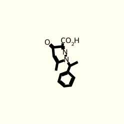 Cc1cc(=O)c(C(=O)O)nn1C(C)c1ccccc1